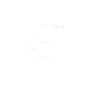 CC(C#N)Oc1ccc(Cl)cc1Cl